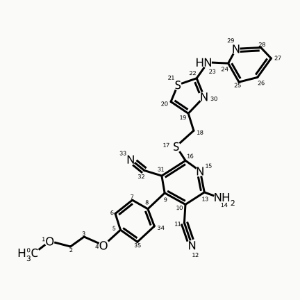 COCCOc1ccc(-c2c(C#N)c(N)nc(SCc3csc(Nc4ccccn4)n3)c2C#N)cc1